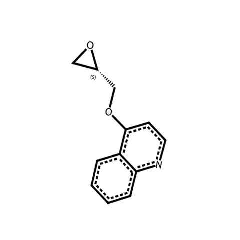 c1ccc2c(OC[C@@H]3CO3)ccnc2c1